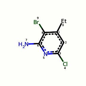 CCc1cc(Cl)nc(N)c1Br